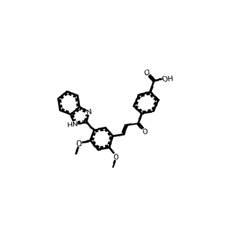 COc1cc(OC)c(-c2nc3ccccc3[nH]2)cc1C=CC(=O)c1ccc(C(=O)O)cc1